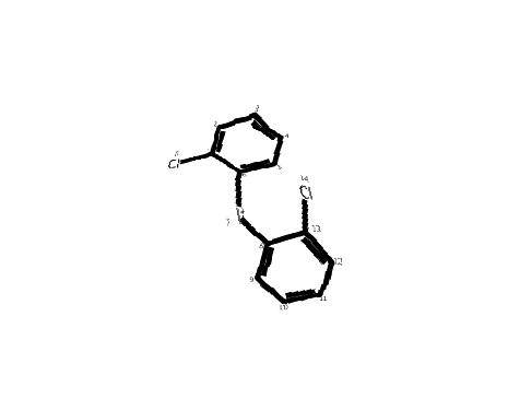 Clc1ccccc1[I+]c1ccccc1Cl